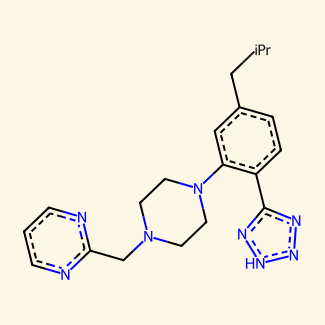 CC(C)Cc1ccc(-c2nn[nH]n2)c(N2CCN(Cc3ncccn3)CC2)c1